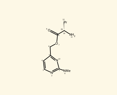 CNc1nccc(COC(=O)[C@@H](N)C(C)C)n1